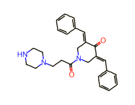 O=C1/C(=C/c2ccccc2)CN(C(=O)CCN2CCNCC2)C/C1=C\c1ccccc1